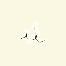 CCC(=O)OC(C)=O.[Ti].[Ti]